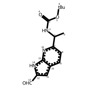 CC(NC(=O)OC(C)(C)C)c1ccc2cc(C=O)[nH]c2n1